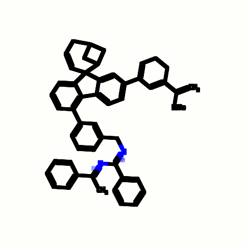 C=C(NC)C1=CC(c2ccc3c(c2)C2(C=CCC4CC2C4)c2cccc(-c4cccc(C/N=C(\N=C(/C)c5ccccc5)c5ccccc5)c4)c2-3)=CCC1